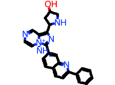 N[N+]12C=CN=CC1=C(C1CC(O)CN1)N=C2c1ccc2ccc(-c3ccccc3)nc2c1